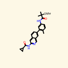 COC(C)(C)C(=O)Nc1ccc(C)c(-c2ccc3cc(NC(=O)C4CC4)ncc3c2)c1